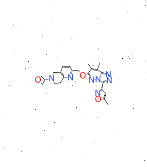 Cc1cc(-c2nnc3c(C)c(C)c(OCc4ccc5c(n4)CCN(C4COC4)C5)nn23)no1